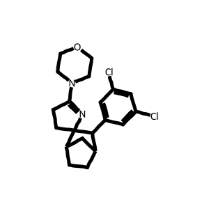 Clc1cc(Cl)cc(C2C3CCC(C3)C23CCC(N2CCOCC2)=N3)c1